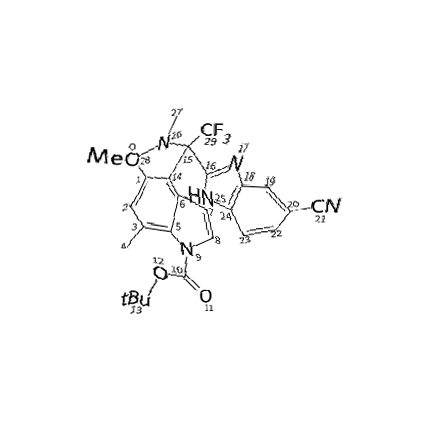 COc1cc(C)c2c(ccn2C(=O)OC(C)(C)C)c1C(c1nc2cc(C#N)ccc2[nH]1)(N(C)C)C(F)(F)F